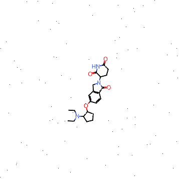 CCN(CC)C1CCCC1Oc1ccc2c(c1)CN(C1CCC(=O)NC1=O)C2=O